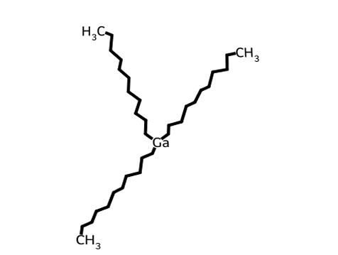 CCCCCCCCCC[CH2][Ga]([CH2]CCCCCCCCCC)[CH2]CCCCCCCCCC